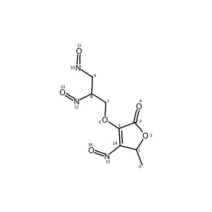 CC1OC(=O)C(OCC(CN=O)N=O)=C1N=O